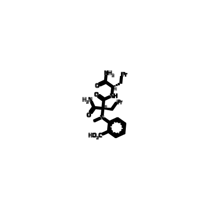 CC(C)C[C@H](NC(=O)[C@@](CC(C)C)(C(N)=O)N(C)c1ccccc1C(=O)O)C(N)=O